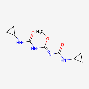 COC(=NC(=O)NC1CC1)NC(=O)NC1CC1